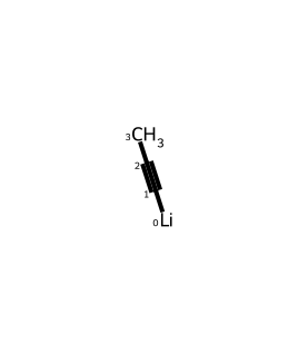 [Li][C]#CC